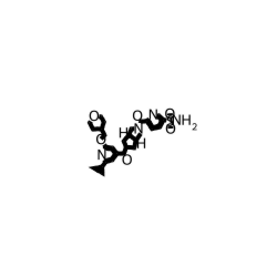 NS(=O)(=O)c1ccc(C(=O)N2C[C@H]3CC(C(=O)c4cc(OCC5CCOCC5)nc(C5CC5)c4)C[C@@H]3C2)nc1